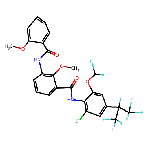 COc1ccccc1C(=O)Nc1cccc(C(=O)Nc2c(Cl)cc(C(F)(C(F)(F)F)C(F)(F)F)cc2OC(F)F)c1OC